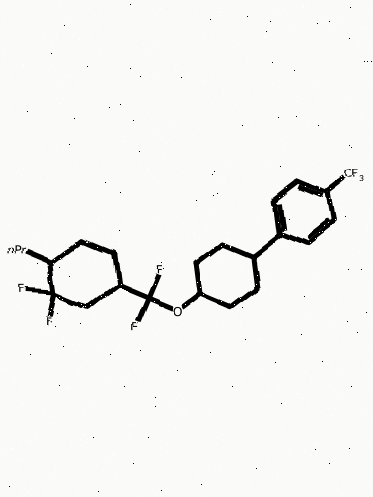 CCCC1CCC(C(F)(F)OC2CCC(c3ccc(C(F)(F)F)cc3)CC2)CC1(F)F